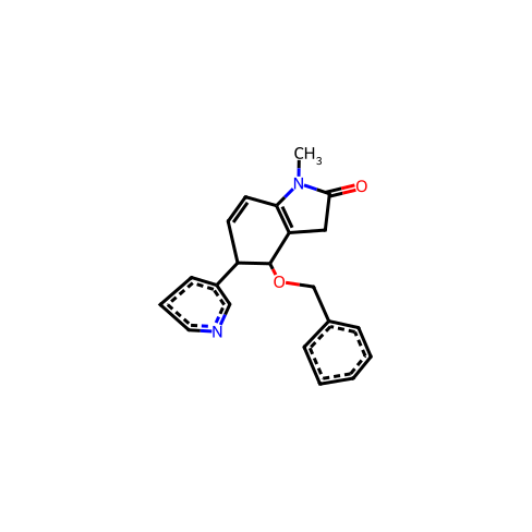 CN1C(=O)CC2=C1C=CC(c1cccnc1)C2OCc1ccccc1